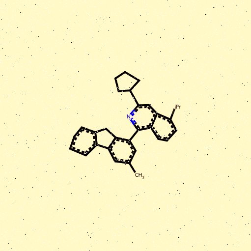 Cc1cc2c(c(-c3nc(C4CCCC4)cc4c(C(C)C)cccc34)c1)Cc1ccccc1-2